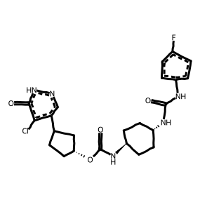 O=C(Nc1ccc(F)cc1)N[C@H]1CC[C@H](NC(=O)O[C@@H]2CCC(c3cn[nH]c(=O)c3Cl)C2)CC1